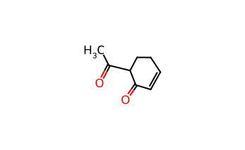 CC(=O)C1CCC=CC1=O